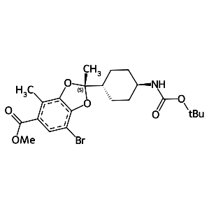 COC(=O)c1cc(Br)c2c(c1C)O[C@](C)([C@H]1CC[C@H](NC(=O)OC(C)(C)C)CC1)O2